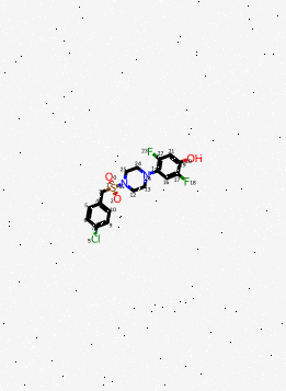 O=S(=O)(Cc1ccc(Cl)cc1)N1CCN(c2cc(F)c(O)cc2F)CC1